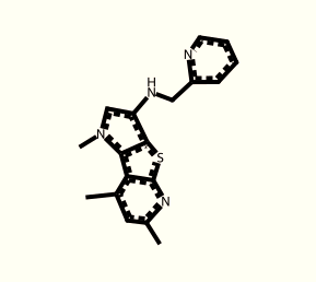 Cc1cc(C)c2c(n1)sc1c(NCc3ccccn3)cn(C)c12